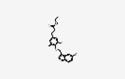 CCOC(=O)CCc1cc(F)c(OCc2csc3ccc(Cl)cc23)c(F)c1